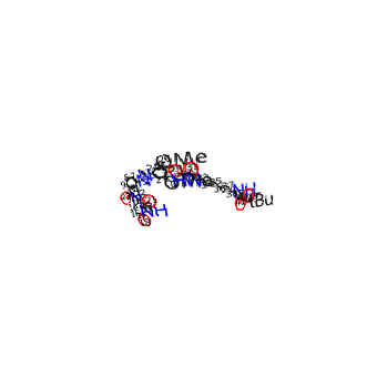 COc1cc(/N=N/c2cccc3c2CN(C2CCC(=O)NC2=O)C3=O)cc(OC)c1OCC(=O)NCCCCCCNC(=O)OC(C)(C)C